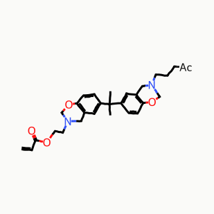 C=CC(=O)OCCN1COc2ccc(C(C)(C)c3ccc4c(c3)CN(CCCC(C)=O)CO4)cc2C1